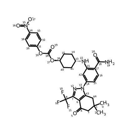 CC1(C)CC(=O)c2c(C(F)(F)F)nn(-c3ccc(C(N)=O)c(N[C@H]4CC[C@H](OC(=O)Oc5ccc([N+](=O)[O-])cc5)CC4)c3)c2C1